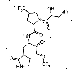 CC(C)C[C@@H](O)C(=O)N1C[C@H](C(F)(F)F)C[C@H]1C(=O)NC(CC1CCNC1=O)C(=O)COC(F)(F)F